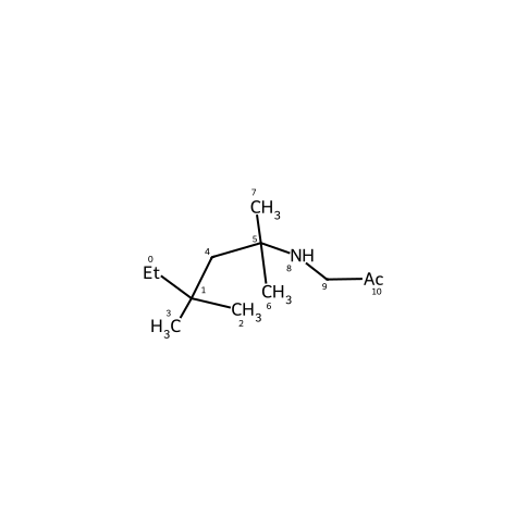 CCC(C)(C)CC(C)(C)NCC(C)=O